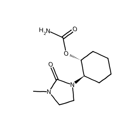 CN1CCN([C@@H]2CCCC[C@H]2OC(N)=O)C1=O